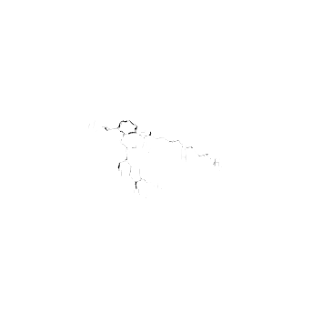 C=Cc1cccc(NC(=O)CCCCNCCCN)c1CN(C)C(C=C)CCC(=C)NC